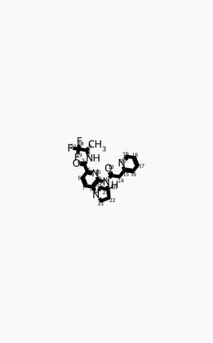 CC(NC(=O)c1ccc2c(n1)N(C(=O)Cc1ccccn1)[C@H]1CCN2C1)C(F)(F)F